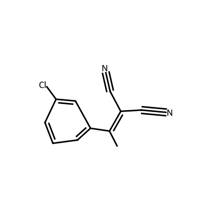 CC(=C(C#N)C#N)c1cccc(Cl)c1